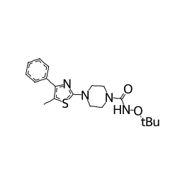 Cc1sc(N2CCN(C(=O)NOC(C)(C)C)CC2)nc1-c1ccccc1